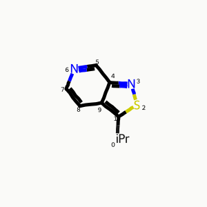 CC(C)c1snc2cnccc12